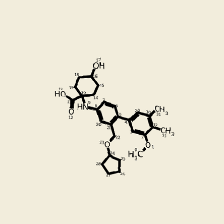 COc1cc(-c2ccc(NC3(C(=O)O)CCC(O)CC3)cc2COC2CCCC2)cc(C)c1C